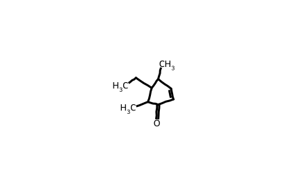 CCC1C(C)C=CC(=O)C1C